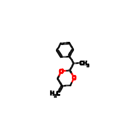 C=C1COC(C(C)c2ccccc2)OC1